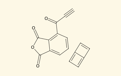 C#CC(=O)c1cccc2c1C(=O)OC2=O.c1cc2ccc1-2